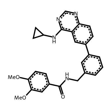 COc1ccc(C(=O)NCc2cccc(-c3ccc4ncnc(NC5CC5)c4c3)c2)cc1OC